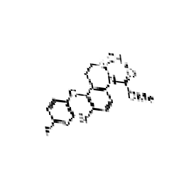 COC(=O)N1c2ccc(Br)c(Oc3ccc(F)cc3)c2CC[C@@H]1C